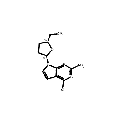 Nc1nc(Cl)c2ccn([C@H]3CC[C@@H](CO)O3)c2n1